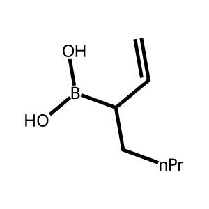 C=CC(CCCC)B(O)O